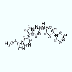 CCc1cnc2ncc(-c3ccn4nc(N[C@H]5CC[C@@H](N6CCOCC6)CC5)ncc34)cn12